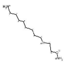 NCCCCCCCCOCCON